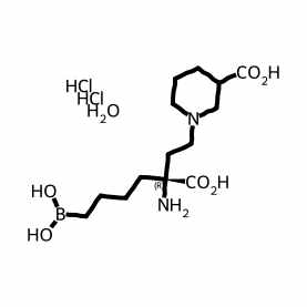 Cl.Cl.N[C@](CCCCB(O)O)(CCN1CCCC(C(=O)O)C1)C(=O)O.O